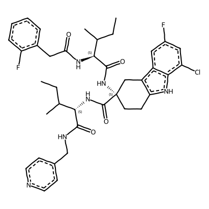 CCC(C)[C@H](NC(=O)Cc1ccccc1F)C(=O)N[C@@]1(C(=O)N[C@H](C(=O)NCc2ccncc2)C(C)CC)CCc2[nH]c3c(Cl)cc(F)cc3c2C1